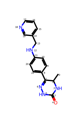 CC1NC(=O)NN=C1c1ccc(NCc2cccnc2)cc1